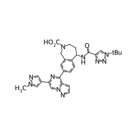 Cn1cc(-c2cn3nccc3c(-c3ccc4c(c3)CN(C(=O)O)CCC4NC(=O)c3cn(C(C)(C)C)nn3)n2)cn1